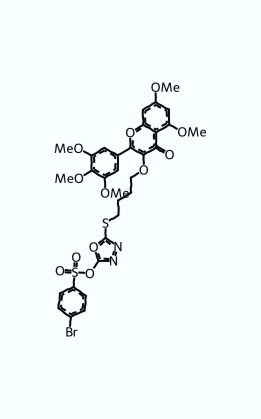 COc1cc(OC)c2c(=O)c(OCCCCSc3nnc(OS(=O)(=O)c4ccc(Br)cc4)o3)c(-c3cc(OC)c(OC)c(OC)c3)oc2c1